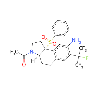 Nc1cc2c(cc1C(F)(C(F)(F)F)C(F)(F)F)CC[C@H]1N(C(=O)C(F)(F)F)CC[C@@]21S(=O)(=O)c1ccccc1